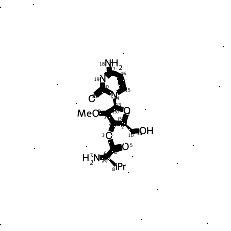 COC1C(OC(=O)[C@H](N)C(C)C)[C@H](CO)O[C@@H]1n1ccc(N)nc1=O